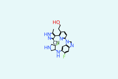 Cc1[nH]nc(C#N)c1-c1nc(-n2cnc3cc(F)c(N[C@H]4CNC[C@H]4F)cc32)ccc1CCO